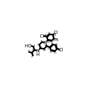 CC(C)C(CO)NC1CCN(C2=C[C@H](C)C(Cl)C=C2Cl)C(c2ccc(Cl)cc2)C1